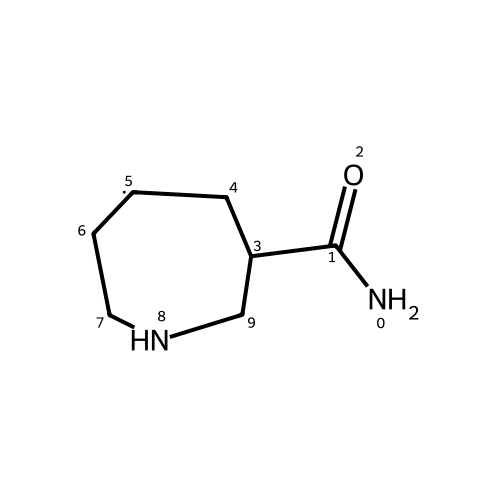 NC(=O)C1C[CH]CCNC1